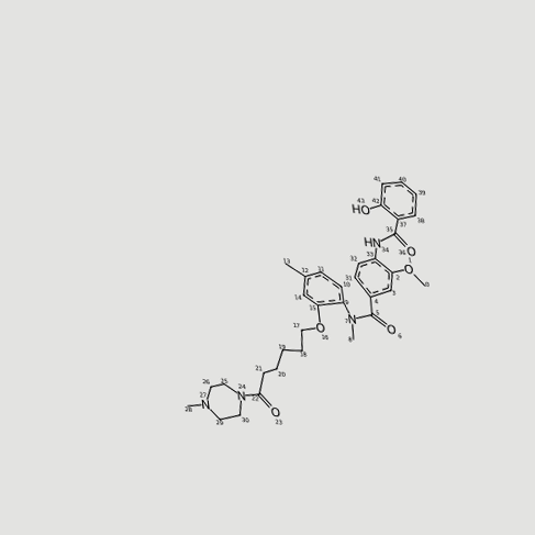 COc1cc(C(=O)N(C)c2ccc(C)cc2OCCCCCC(=O)N2CCN(C)CC2)ccc1NC(=O)c1ccccc1O